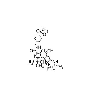 COc1cc(N[C@H](C)C(F)(F)F)ccc1-n1c(C(C)(C)C)nc(C(=O)NC[C@H]2CC[C@@H](S(C)(=O)=O)CC2)c1Cl